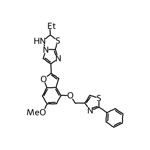 CCC1Nn2cc(-c3cc4c(OCc5csc(-c6ccccc6)n5)cc(OC)cc4o3)nc2S1